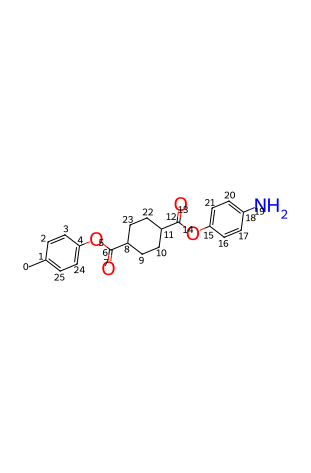 Cc1ccc(OC(=O)C2CCC(C(=O)Oc3ccc(N)cc3)CC2)cc1